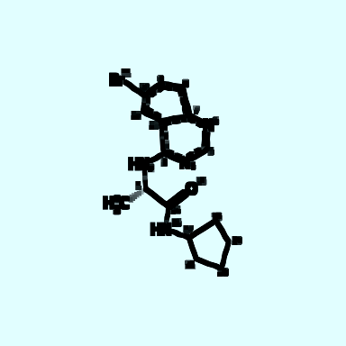 C[C@H](Nc1ncnc2ccc(Br)cc12)C(=O)NC1CCCC1